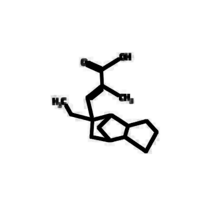 CCC1(C=C(C)C(=O)O)C[C]2CC1C1CCCC21